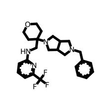 FC(F)(F)c1cccc(NCC2(N3CC4CN(Cc5ccccc5)CC4C3)CCOCC2)n1